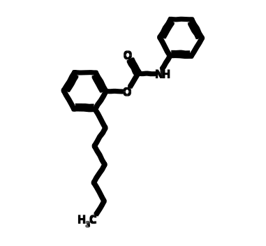 CCCCCCc1ccccc1OC(=O)Nc1ccccc1